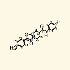 O=C(Nc1ccc(I)cc1)C1CCN(C(=O)C(O)c2ccc(O)cc2)CC1